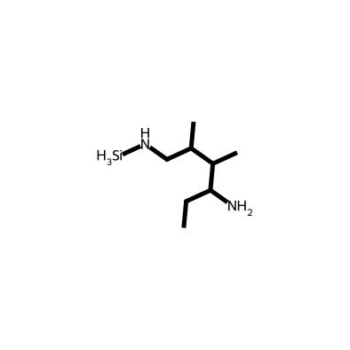 CCC(N)C(C)C(C)CN[SiH3]